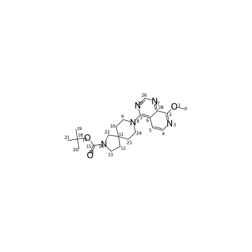 COc1nccc2c(N3CCC4(CCN(C(=O)OC(C)(C)C)C4)CC3)ncnc12